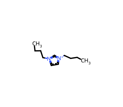 CCCCn1cc[n+](CCCC)c1